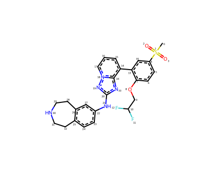 CS(=O)(=O)c1ccc(OCC(F)F)c(-c2cccn3nc(Nc4ccc5c(c4)CCNCC5)nc23)c1